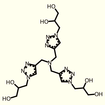 OCC(O)Cn1cc(CN(Cc2cn(CC(O)CO)nn2)Cc2cn(CC(O)CO)nn2)nn1